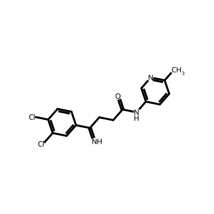 Cc1ccc(NC(=O)CCC(=N)c2ccc(Cl)c(Cl)c2)cn1